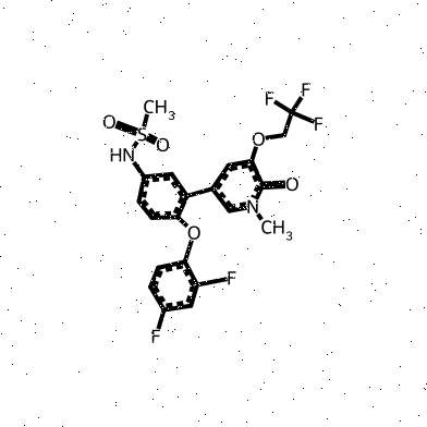 Cn1cc(-c2cc(NS(C)(=O)=O)ccc2Oc2ccc(F)cc2F)cc(OCC(F)(F)F)c1=O